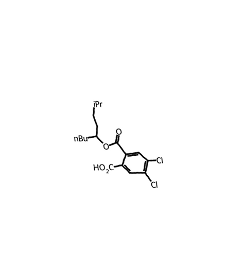 CCCCC(CCC(C)C)OC(=O)c1cc(Cl)c(Cl)cc1C(=O)O